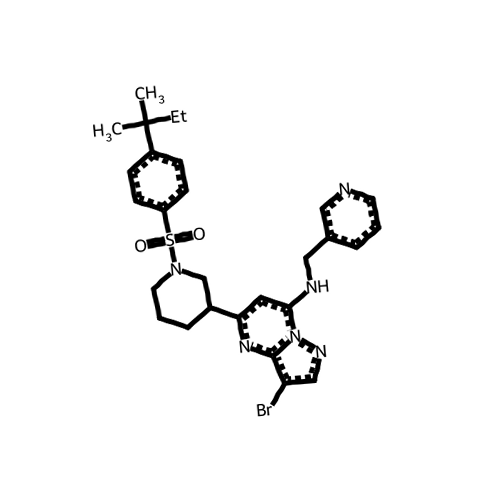 CCC(C)(C)c1ccc(S(=O)(=O)N2CCCC(c3cc(NCc4cccnc4)n4ncc(Br)c4n3)C2)cc1